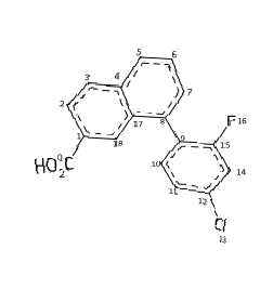 O=C(O)c1ccc2cccc(-c3ccc(Cl)cc3F)c2c1